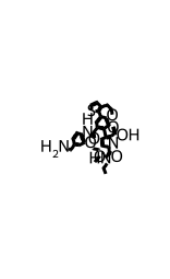 CCCNC(=O)c1ccc(-c2cc3c(cc2C(=O)Nc2ccc(CN)cc2OCCOC)-c2sccc2CCO3)c(C(=O)O)n1